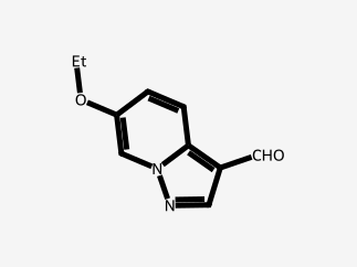 CCOc1ccc2c(C=O)cnn2c1